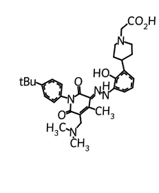 CC1=C(CN(C)C)C(=O)N(c2ccc(C(C)(C)C)cc2)C(=O)/C1=N/Nc1cccc(C2CCN(CC(=O)O)CC2)c1O